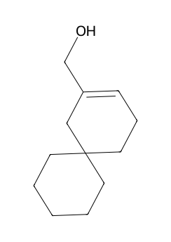 OCC1=CCCC2(CCCCC2)C1